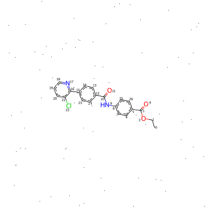 CCOC(=O)c1ccc(NC(=O)c2ccc(-c3ncccc3Cl)cc2)cc1